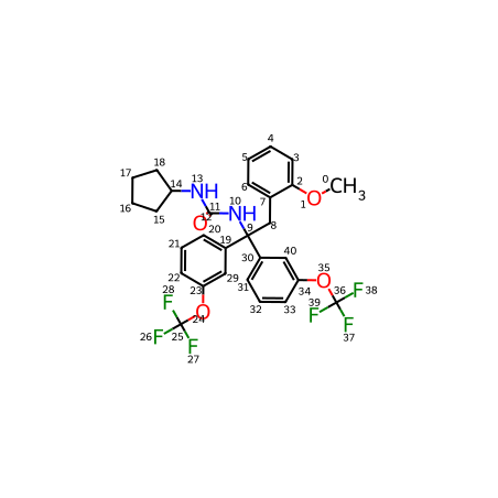 COc1ccccc1CC(NC(=O)NC1CCCC1)(c1cccc(OC(F)(F)F)c1)c1cccc(OC(F)(F)F)c1